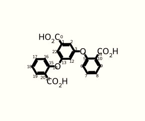 O=C(O)c1cc(Oc2ccccc2C(=O)O)cc(Oc2ccccc2C(=O)O)c1